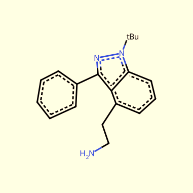 CC(C)(C)n1nc(-c2ccccc2)c2c(CCN)cccc21